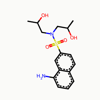 CC(O)CN(CC(C)O)S(=O)(=O)c1ccc2cccc(N)c2c1